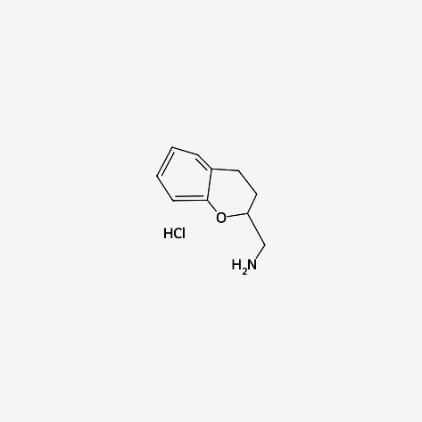 Cl.NCC1CCc2ccccc2O1